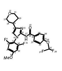 COc1cc(F)c(-n2cc(C3CCOCC3)nc2NC(=O)c2ccc(OC(F)F)cc2)c(F)c1